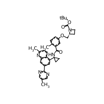 Cc1cnc(-c2cc(C3(NC(=O)c4cc(OC[C@@H]5CCN5C(=O)OC(C)(C)C)ccc4C)CC3)c3ccc(C)nc3c2)nc1